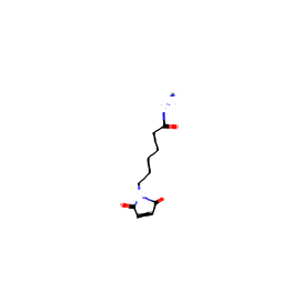 C=NNC(=O)CCCCCN1C(=O)C=CC1=O